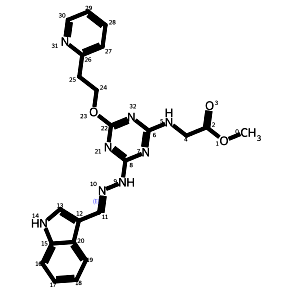 COC(=O)CNc1nc(N/N=C/c2c[nH]c3ccccc23)nc(OCCc2ccccn2)n1